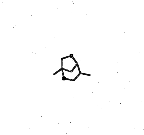 CC1COC2(C)COC1C2